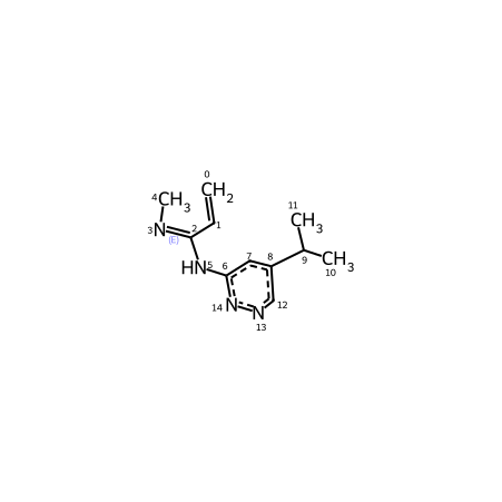 C=C/C(=N\C)Nc1cc(C(C)C)cnn1